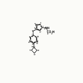 O=C(O)Nc1cnn(Cc2cnc(N3CCC3)nc2)c1